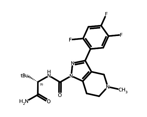 CN1CCc2c(c(-c3cc(F)c(F)cc3F)nn2C(=O)N[C@H](C(N)=O)C(C)(C)C)C1